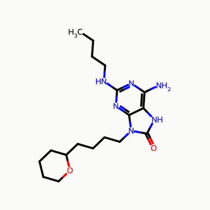 CCCCNc1nc(N)c2[nH]c(=O)n(CCCCC3CCCCO3)c2n1